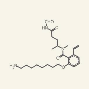 C=Cc1cccc(OCCCCCCCCN)c1C(=O)N(C)C(C)CCC(=O)NC=O